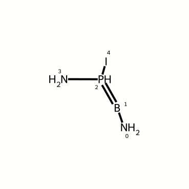 NB=[PH](N)I